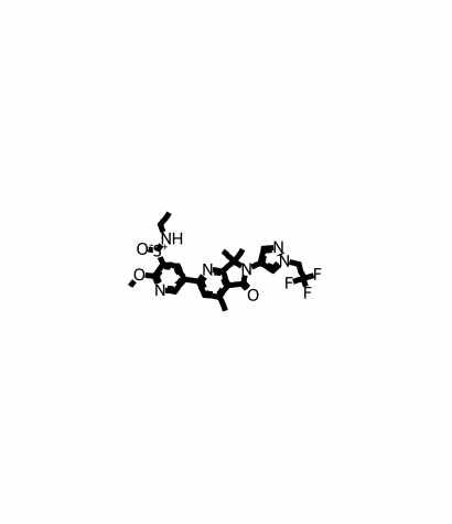 CCN[S+]([O-])c1cc(-c2cc(C)c3c(n2)C(C)(C)N(c2cnn(CC(F)(F)F)c2)C3=O)cnc1OC